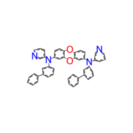 c1ccc(-c2cccc(N(c3cccnc3)c3ccc4c(c3)Oc3cc(N(c5cccnc5)c5cccc(-c6ccccc6)c5)ccc3O4)c2)cc1